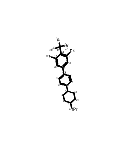 CCCC1CCC(c2ccc(-c3cc(F)c(C(F)(F)Br)c(F)c3)cc2)CC1